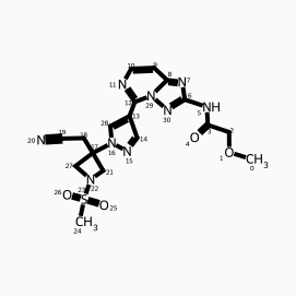 COCC(=O)Nc1nc2ccnc(-c3cnn(C4(CC#N)CN(S(C)(=O)=O)C4)c3)n2n1